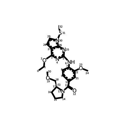 CCOc1nc(Nc2ccc(C(=O)N3CCC[C@H]3COC)cc2OC)nc2c1ccn2SI